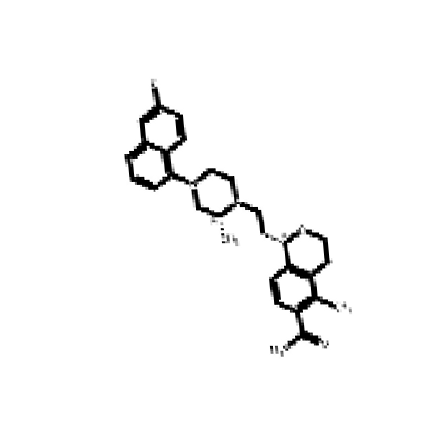 Cc1c(C(N)=O)ccc2c1CCO[C@H]2CCN1CCN(c2cccc3cc(F)ccc23)C[C@H]1C